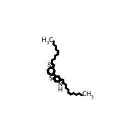 CCCCC/C=C\CCCc1cc2cc3c4c(sc3cc2[nH]1)=C=Cc1sc(CCC/C=C\CCCCC)cc1C=4